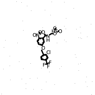 O=C(NCO[SH](=O)=O)c1cc(OCc2ccc(C(F)(F)F)cc2Cl)ccc1[N+](=O)[O-]